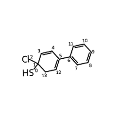 SC1(Cl)C=CC(c2ccccc2)=CC1